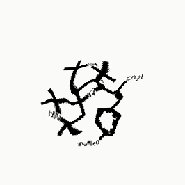 COc1ccc(C=C(C(=O)O)C(=O)OC2(C3CC(C)(C)NC(C)(C)C3)CC(C)(C)NC(C)(C)C2)cc1